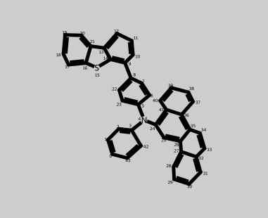 c1ccc(N(c2ccc(-c3cccc4c3sc3ccccc34)cc2)c2cc3c4ccccc4ccc3c3ccccc23)cc1